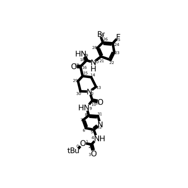 CC(C)(C)OC(=O)Nc1ccc(NC(=O)N2CCC(C(=O)C(=N)Nc3ccc(F)c(Br)c3)CC2)cn1